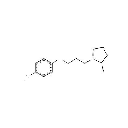 C[C@@H]1CCCN1CCCOc1ccc(N)cc1